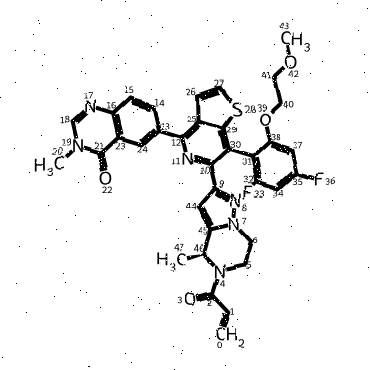 C=CC(=O)N1CCn2nc(-c3nc(-c4ccc5ncn(C)c(=O)c5c4)c4ccsc4c3-c3c(F)cc(F)cc3OCCOC)cc2[C@@H]1C